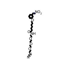 [N-]=[N+]=NCCOCCOCCOCCNC(=O)CCCCCCOc1cccc(/C=C/[N+](=O)[O-])c1